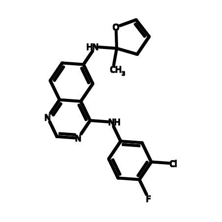 CC1(Nc2ccc3ncnc(Nc4ccc(F)c(Cl)c4)c3c2)CC=CO1